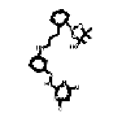 CC1(C)OB(c2ccccc2CCCNc2cccc(SNc3nc(Cl)cc(Cl)n3)c2)OC1(C)O